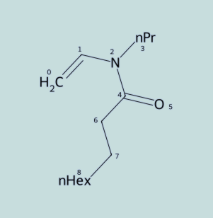 C=CN(CCC)C(=O)CCCCCCCC